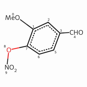 COc1cc(C=O)ccc1O[N+](=O)[O-]